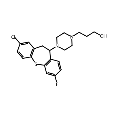 OCCCN1CCN(C2Cc3cc(Cl)ccc3Sc3cc(F)ccc32)CC1